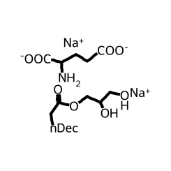 CCCCCCCCCCCC(=O)OCC(O)CO.NC(CCC(=O)[O-])C(=O)[O-].[Na+].[Na+]